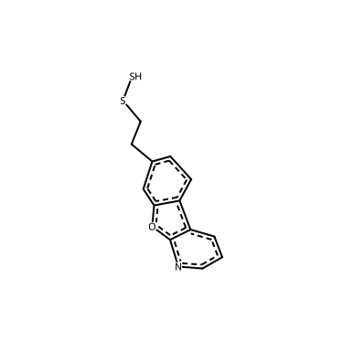 SSCCc1ccc2c(c1)oc1ncccc12